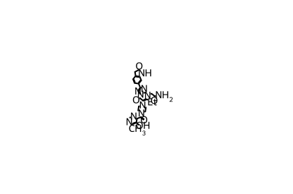 CCc1c(N2CCN(C(=O)c3ncnc(C)c3O)CC2)c(=O)n2nc(-c3ccc4c(c3)NC(=O)C4)nc2n1CC(N)=O